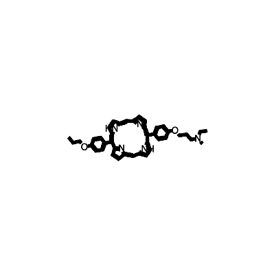 CCCOc1ccc(-c2c3nc(cc4ccc([nH]4)c(-c4ccc(OCCCN(C)CC)cc4)c4nc(cc5ccc2[nH]5)C=C4)C=C3)cc1